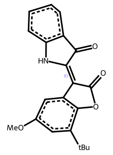 COc1cc2c(c(C(C)(C)C)c1)OC(=O)/C2=C1/Nc2ccccc2C1=O